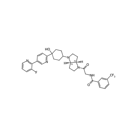 O=C(NCC(=O)N1CC[C@H]2[C@@H]1CCN2C1CCC(O)(c2ccc(-c3ncccc3F)cn2)CC1)c1cccc(C(F)(F)F)c1